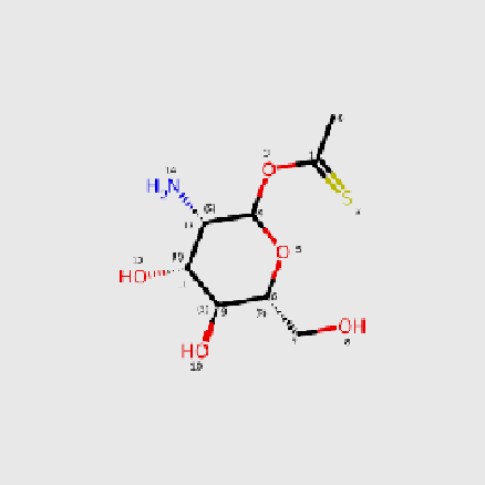 CC(=S)OC1O[C@H](CO)[C@@H](O)[C@H](O)[C@@H]1N